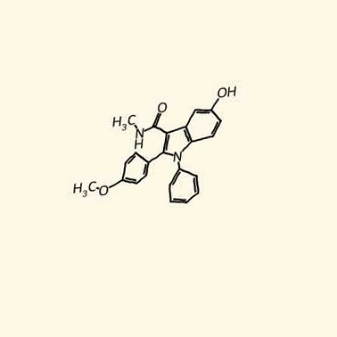 CNC(=O)c1c(-c2ccc(OC)cc2)n(-c2ccccc2)c2ccc(O)cc12